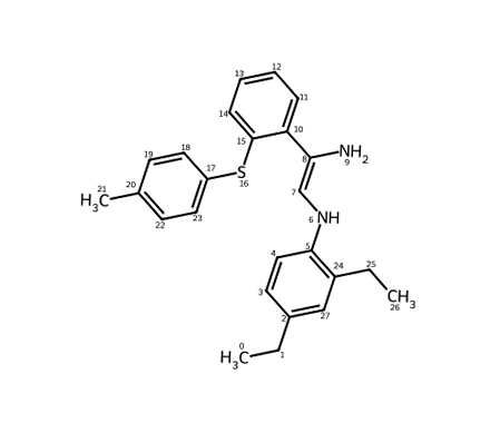 CCc1ccc(N/C=C(\N)c2ccccc2Sc2ccc(C)cc2)c(CC)c1